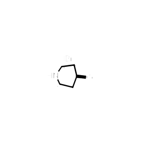 Br.O=C1CCNCC1